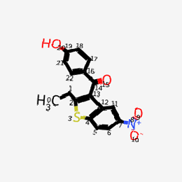 CCc1sc2ccc([N+](=O)[O-])cc2c1C(=O)c1ccc(O)cc1